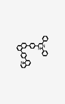 c1ccc(-c2cc(-c3ccc(-c4ccc5cccc(-c6ccc(-c7cccc8cccnc78)cc6)c5c4)cc3)nc(-c3ccccc3)n2)cc1